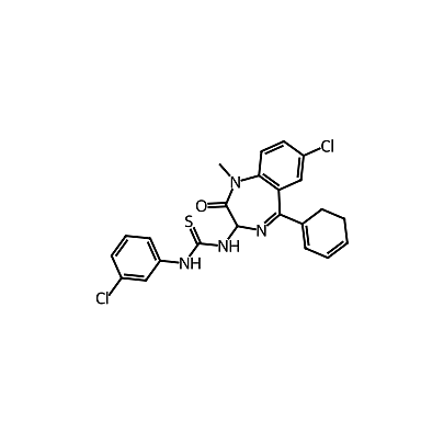 CN1C(=O)C(NC(=S)Nc2cccc(Cl)c2)N=C(C2=CC=CCC2)c2cc(Cl)ccc21